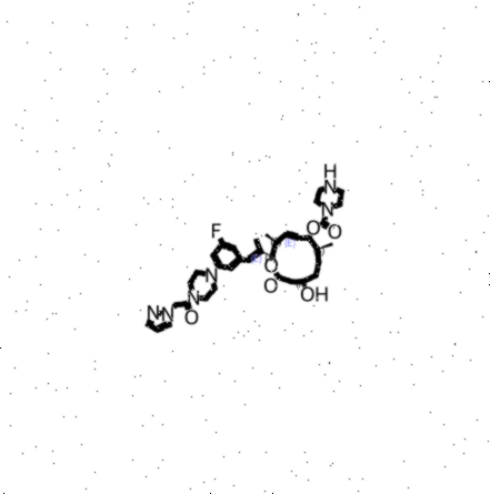 C/C(=C\c1cc(F)cc(N2CCN(C(=O)Cn3cccn3)CC2)c1)[C@H]1OC(=O)C[C@H](O)CC[C@H](C)C(OC(=O)N2CCNCC2)/C=C/[C@@H]1C